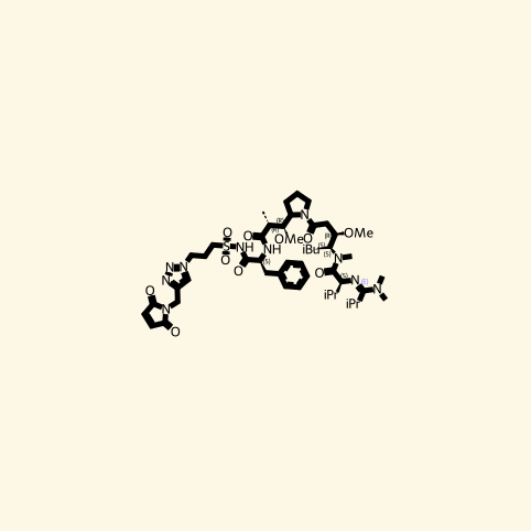 CC[C@H](C)[C@@H]([C@@H](CC(=O)N1CCCC1[C@H](OC)[C@@H](C)C(=O)N[C@@H](Cc1ccccc1)C(=O)NS(=O)(=O)CCCn1cc(CN2C(=O)C=CC2=O)nn1)OC)N(C)C(=O)[C@@H](/N=C(\C(C)C)N(C)C)C(C)C